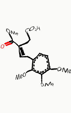 COC(=O)/C(=C/c1ccc(OC)c(OC)c1OC)CC(=O)O